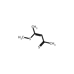 CS/C(C)=C\C(C)=S